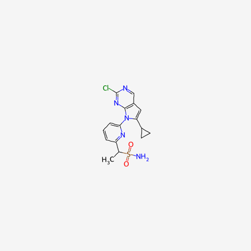 CC(c1cccc(-n2c(C3CC3)cc3cnc(Cl)nc32)n1)S(N)(=O)=O